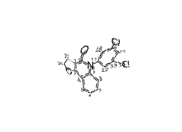 O=c1c2c(c3ccccc3n1-c1cc(Cl)cc(Cl)c1)OCC2